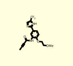 CC#CC(=O)Nc1cc(-c2ncc(C(F)(F)F)[nH]2)ccc1OCCOC